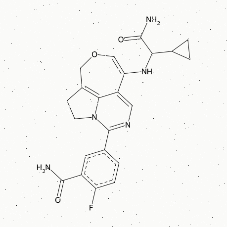 NC(=O)c1cc(C2=NC=C3C(NC(C(N)=O)C4CC4)=COCC4=C3N2CC4)ccc1F